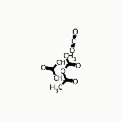 CC(=O)OC(C)=O.CC(C)=O.O=C=O